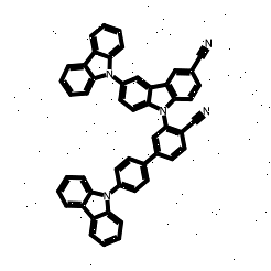 N#Cc1ccc2c(c1)c1cc(-n3c4ccccc4c4ccccc43)ccc1n2-c1cc(-c2ccc(-n3c4ccccc4c4ccccc43)cc2)ccc1C#N